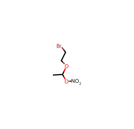 CC(OCCBr)O[N+](=O)[O-]